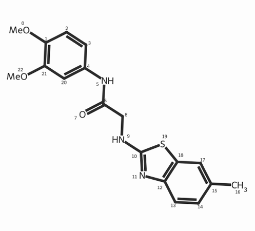 COc1ccc(NC(=O)CNc2nc3ccc(C)cc3s2)cc1OC